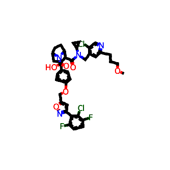 COCCCc1cc(CN(C(=O)C2C(c3ccc(OCc4cc(-c5c(F)ccc(F)c5Cl)no4)cc3)CC3CCC2N3C(=O)O)C2CC2)c(Cl)cn1